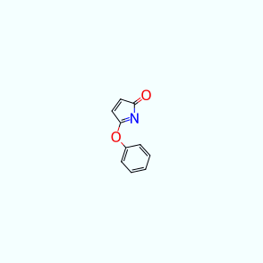 O=C1C=CC(Oc2ccccc2)=N1